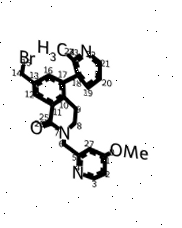 COc1ccnc(CN2CCc3c(cc(CBr)cc3-c3cccnc3C)C2=O)c1